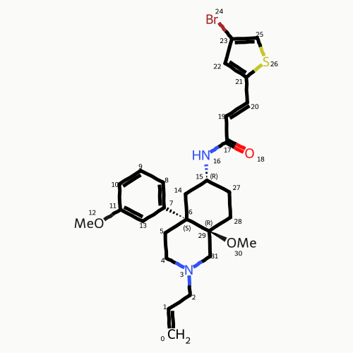 C=CCN1CC[C@@]2(c3cccc(OC)c3)C[C@H](NC(=O)C=Cc3cc(Br)cs3)CC[C@]2(OC)C1